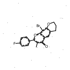 Cc1c(-c2ccc(F)cc2)oc2c(Br)c3c(cc2c1=O)CCCO3